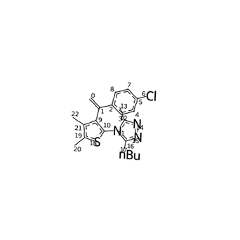 C=C(c1ccc(Cl)cc1)c1c(-n2c(C)nnc2CCCC)sc(C)c1C